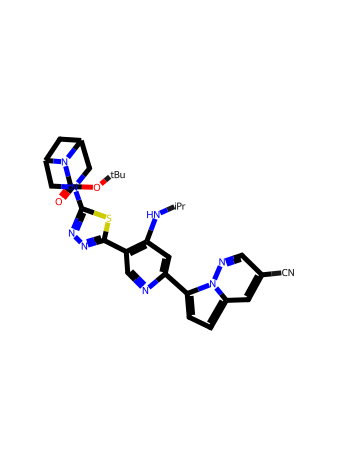 CC(C)Nc1cc(-c2ccc3cc(C#N)cnn23)ncc1-c1nnc(N2CC3CC(C2)N3C(=O)OC(C)(C)C)s1